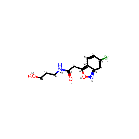 O=C(Cc1onc2cc(Br)ccc12)NCCCO